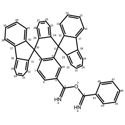 N=C(OC(=N)c1ccc2c(c1)C1(c3ccccc3-c3ccccc31)c1ccccc1C21c2ccccc2-c2ccccc21)c1ccccc1